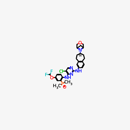 CP(C)(=O)c1cc(OC(F)F)ccc1Nc1nc(Nc2ccc3c(c2)CC[C@@H](N2C4COCC2C4)CC3)ncc1Cl